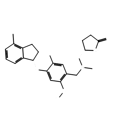 CCOc1cc(O[C@H]2CCc3c(C)cccc32)c(Cl)cc1CN(C)C[C@@H]1CCC(=O)N1